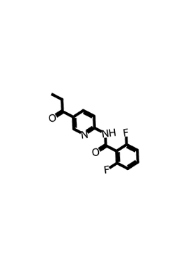 CCC(=O)c1ccc(NC(=O)c2c(F)cccc2F)nc1